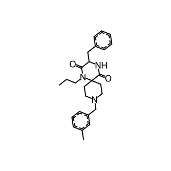 CCCN1C(=O)C(Cc2ccccc2)NC(=O)C12CCN(Cc1cccc(C)c1)CC2